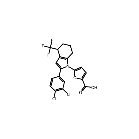 O=C(O)c1ccc(-n2c(-c3ccc(Cl)c(Cl)c3)cc3c2CCCC3C(F)(F)F)o1